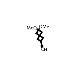 C#CC1CC2(C1)CC(OC)(OC)C2